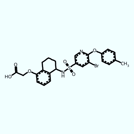 Cc1ccc(Oc2ncc(S(=O)(=O)NC3CCCc4c(OCC(=O)O)cccc43)cc2Br)cc1